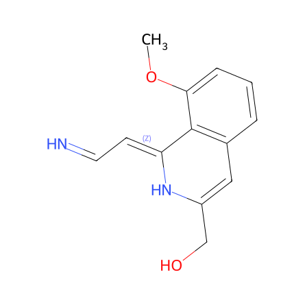 COc1cccc2c1/C(=C/C=N)NC(CO)=C2